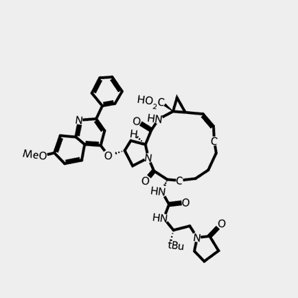 COc1ccc2c(O[C@@H]3C[C@H]4C(=O)N[C@]5(C(=O)O)CC5/C=C\CCCCC[C@H](NC(=O)N[C@H](CN5CCCC5=O)C(C)(C)C)C(=O)N4C3)cc(-c3ccccc3)nc2c1